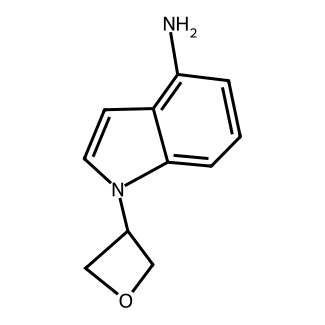 Nc1cccc2c1ccn2C1COC1